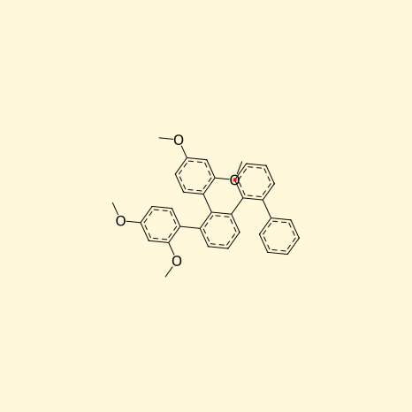 COc1ccc(-c2cccc(-c3ccccc3-c3ccccc3)c2-c2ccc(OC)cc2OC)c(OC)c1